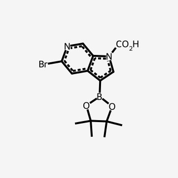 CC1(C)OB(c2cn(C(=O)O)c3cnc(Br)cc23)OC1(C)C